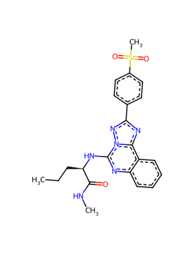 CCC[C@@H](Nc1nc2ccccc2c2nc(-c3ccc(S(C)(=O)=O)cc3)nn12)C(=O)NC